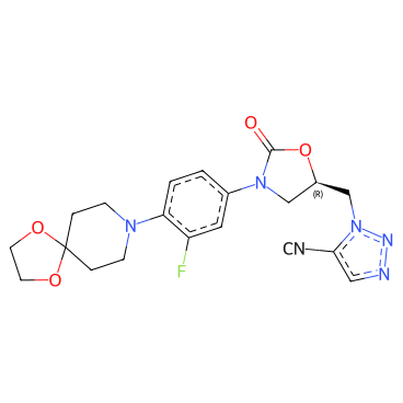 [C-]#[N+]c1cnnn1C[C@H]1CN(c2ccc(N3CCC4(CC3)OCCO4)c(F)c2)C(=O)O1